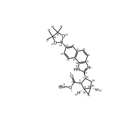 CC(C)(C)OC(=O)N1[C@@H](c2nc3ccc4cc(B5OC(C)(C)C(C)(C)O5)ccc4c3[nH]2)C[C@H]2C[C@H]21